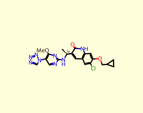 COc1nc(N[C@@H](C)c2cc3cc(Cl)c(OCC4CC4)cc3[nH]c2=O)ncc1-n1cnnn1